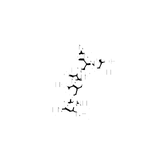 C[C@@H](O/N=C(\C(=O)NC1C(=O)N2C(C(=O)O)=C(CSC3=NC(N)=CC(N)N3N)CS[C@@H]12)c1csc(N)n1)C(=O)O